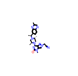 Cc1cnc2ccc([C@H](C)N3C[C@H](C)N(c4nc(=O)n(C)c5cn(CC#N)nc45)C[C@H]3C)cc2n1